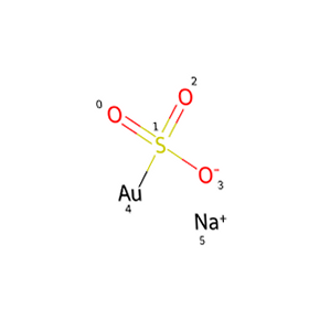 O=[S](=O)([O-])[Au].[Na+]